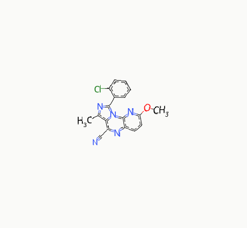 COc1ccc2nc(C#N)c3c(C)nc(-c4ccccc4Cl)n3c2n1